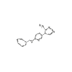 Nc1ncncc1-c1ccc(OCc2ccccc2)nc1